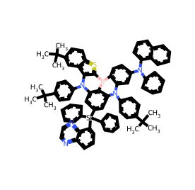 CC(C)(C)c1ccc(N2c3cc(N(c4ccccc4)c4cccc5ccccc45)ccc3B3c4sc5ccc(C(C)(C)C)cc5c4N(c4ccc(C(C)(C)C)cc4)c4cc([Si](c5ccccc5)(c5ccccc5)c5cccc6nccnc56)cc2c43)cc1